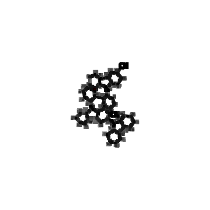 N#Cc1ccc(-n2c3ccccc3c3cc(C#N)ccc32)c(-c2ccccc2-n2c3ccccc3c3cc(-n4c5ccccc5c5ccccc54)ccc32)c1